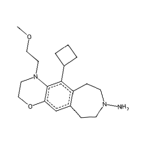 COCCN1CCOc2cc3c(c(C4CCC4)c21)CCN(N)CC3